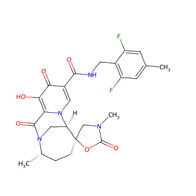 Cc1cc(F)c(CNC(=O)c2cn3c(c(O)c2=O)C(=O)N2C[C@@H]3[C@@]3(CC[C@@H]2C)CN(C)C(=O)O3)c(F)c1